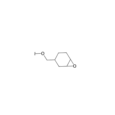 IOCC1CCC2OC2C1